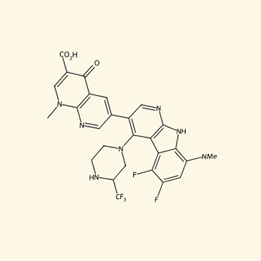 CNc1cc(F)c(F)c2c1[nH]c1ncc(-c3cnc4c(c3)c(=O)c(C(=O)O)cn4C)c(N3CCNC(C(F)(F)F)C3)c12